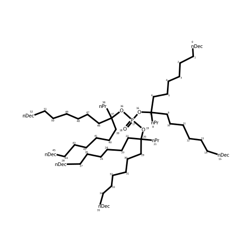 CCCCCCCCCCCCCCCCC(CCC)(CCCCCCCCCCCCCCCC)OP(=O)(OC(CCC)(CCCCCCCCCCCCCCCC)CCCCCCCCCCCCCCCC)OC(CCC)(CCCCCCCCCCCCCCCC)CCCCCCCCCCCCCCCC